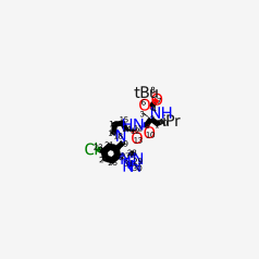 CC(C)C[C@](C)(NC(=O)OC(C)(C)C)C(=O)NC(=O)[C@@H]1CCCN1Cc1cc(Cl)ccc1-n1cnnn1